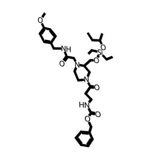 CCC(C)O[Si](CC)(CC)OCC1CN(C(=O)CCNC(=O)OCc2ccccc2)CCN1CC(=O)NCc1ccc(OC)cc1